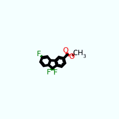 COC(=O)c1ccc2c(c1)C1C=C(F)C=CC1C2(F)F